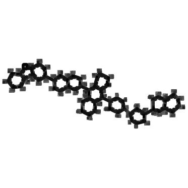 c1cc(-c2ccc(-c3c4ccccc4c(-c4ccc5cc(-c6ccc7oc8ccccc8c7c6)ccc5c4)c4ccccc34)cc2)cc(-c2ccc3ccccc3c2)c1